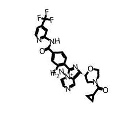 N[N+]12C=CN=CC1=C([C@H]1CN(C(=O)C3CC3)CCO1)N=C2c1ccc(C(=O)Nc2cc(C(F)(F)F)ccn2)cc1F